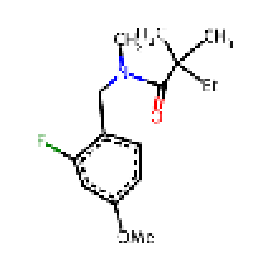 CCC(C)(C)C(=O)N(C)Cc1ccc(OC)cc1F